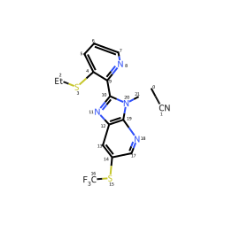 CC#N.CCSc1cccnc1-c1nc2cc(SC(F)(F)F)cnc2n1C